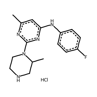 Cc1cc(Nc2ccc(F)cc2)nc(N2CCNCC2C)n1.Cl